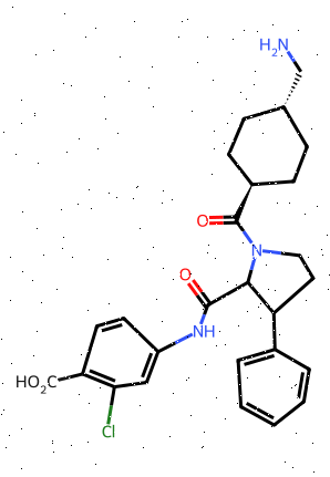 NC[C@H]1CC[C@H](C(=O)N2CCC(c3ccccc3)C2C(=O)Nc2ccc(C(=O)O)c(Cl)c2)CC1